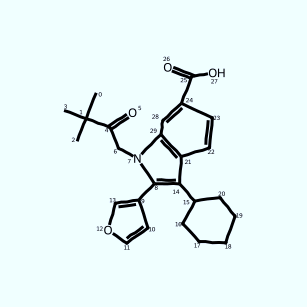 CC(C)(C)C(=O)Cn1c(-c2ccoc2)c(C2CCCCC2)c2ccc(C(=O)O)cc21